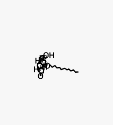 CCCCCCCCCCCCCO[C@H]1C[C@]2(C)[C@@H](O)CC[C@H]2[C@@H]2CC[C@H]3CC(=O)CC[C@]3(C)[C@H]21